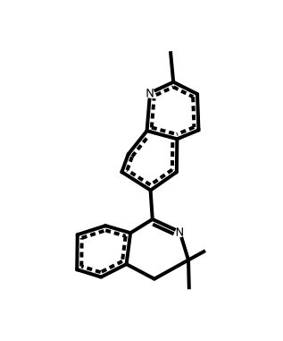 Cc1ccc2cc(C3=NC(C)(C)Cc4ccccc43)ccc2n1